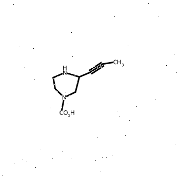 CC#CC1CN(C(=O)O)CCN1